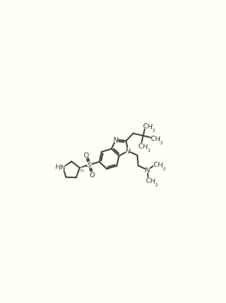 CN(C)CCn1c(CC(C)(C)C)nc2cc(S(=O)(=O)[C@H]3CCNC3)ccc21